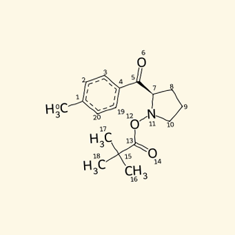 Cc1ccc(C(=O)[C@H]2CCCN2OC(=O)C(C)(C)C)cc1